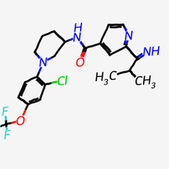 CC(C)C(=N)c1cc(C(=O)NC2CCCN(c3ccc(OC(F)(F)F)cc3Cl)C2)ccn1